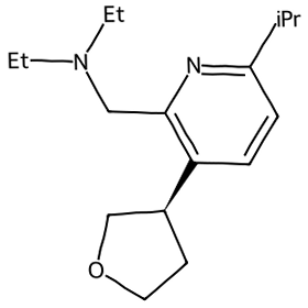 CCN(CC)Cc1nc(C(C)C)ccc1[C@H]1CCOC1